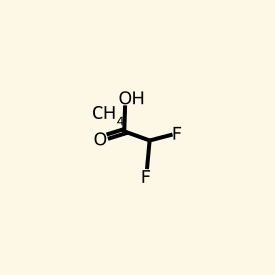 C.O=C(O)C(F)F